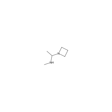 CNC(C)N1CCC1